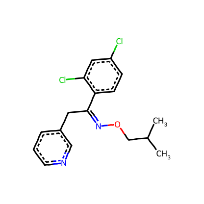 CC(C)CON=C(Cc1cccnc1)c1ccc(Cl)cc1Cl